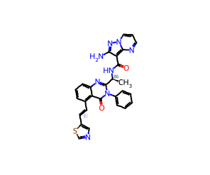 C[C@H](NC(=O)c1c(N)nn2cccnc12)c1nc2cccc(/C=C/c3cncs3)c2c(=O)n1-c1ccccc1